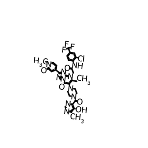 CCc1c(N2CCN(C(=O)c3ncnc(C)c3O)CC2)c(=O)n2nc(-c3ccn(C)c(=O)c3)nc2n1CC(=O)Nc1ccc(C(F)(F)F)cc1Cl